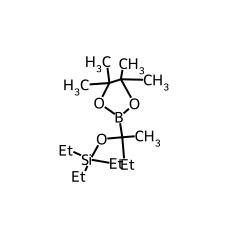 CCC(C)(O[Si](CC)(CC)CC)B1OC(C)(C)C(C)(C)O1